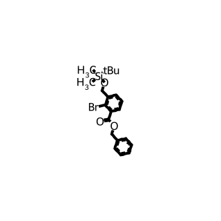 CC(C)(C)[Si](C)(C)OCc1cccc(C(=O)OCc2ccccc2)c1Br